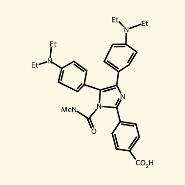 CCN(CC)c1ccc(-c2nc(-c3ccc(C(=O)O)cc3)n(C(=O)NC)c2-c2ccc(N(CC)CC)cc2)cc1